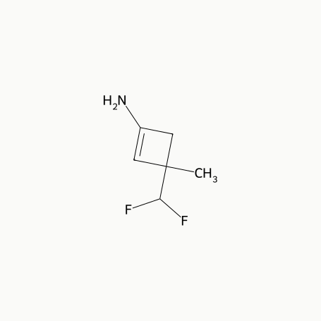 CC1(C(F)F)C=C(N)C1